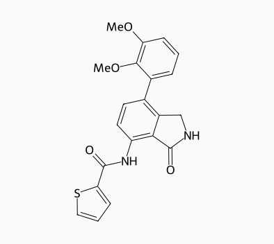 COc1cccc(-c2ccc(NC(=O)c3cccs3)c3c2CNC3=O)c1OC